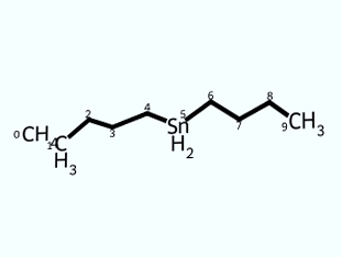 C.CCC[CH2][SnH2][CH2]CCC